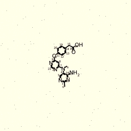 Cc1ncc(N(C)c2cc(Oc3ccc(CC(=O)O)cc3)ncn2)c(N)n1